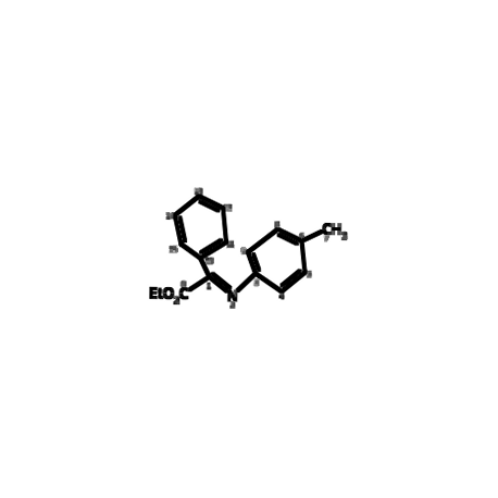 CCOC(=O)C(=Nc1ccc(C)cc1)c1ccccc1